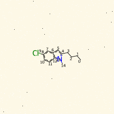 CCCCc1cc2cc(Cl)ccc2n1C